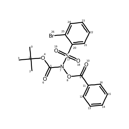 CC(C)(C)OC(=O)N(OC(=O)c1ccccc1)S(=O)(=O)c1ccccc1Br